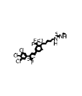 CCNC(=S)NCCCCC(=O)c1ccc(/C=C/C(c2cc(Cl)c(Cl)c(Cl)c2)C(F)(F)F)cc1C(F)(F)F